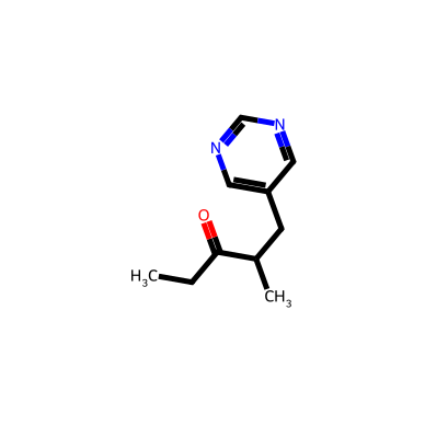 CCC(=O)C(C)Cc1cncnc1